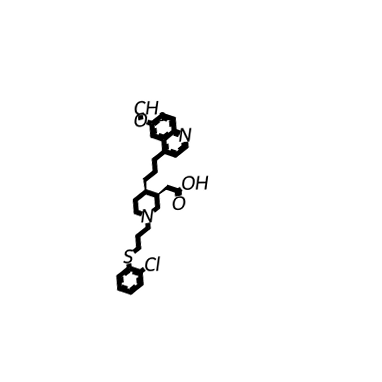 COc1ccc2nccc(CCC[C@@H]3CCN(CCCSc4ccccc4Cl)C[C@@H]3CC(=O)O)c2c1